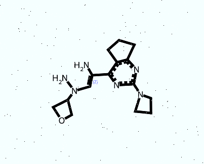 N/C(=C\N(N)C1COC1)c1nc(N2CCC2)nc2c1CCC2